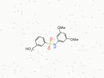 COc1cc(NS(=O)(=O)c2cccc(C(=O)O)c2)cc(OC)c1